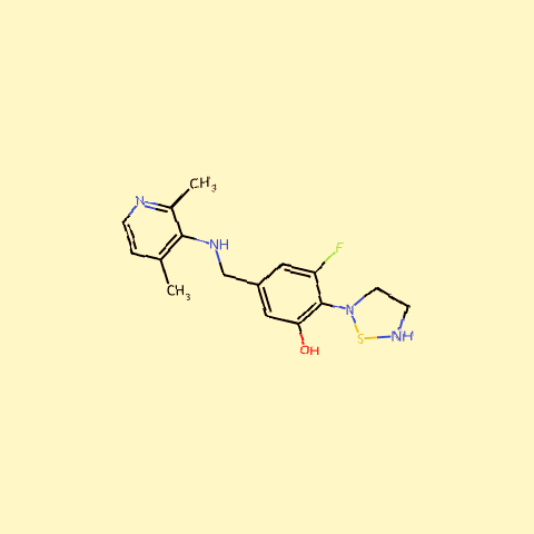 Cc1ccnc(C)c1NCc1cc(O)c(N2CCNS2)c(F)c1